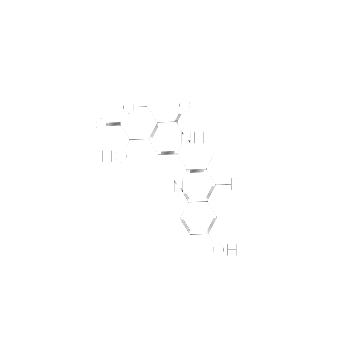 CCc1c(C)c(-c2cc3c(c(=O)[nH]2)COC(=O)C3O)nc2ccc(O)cc12